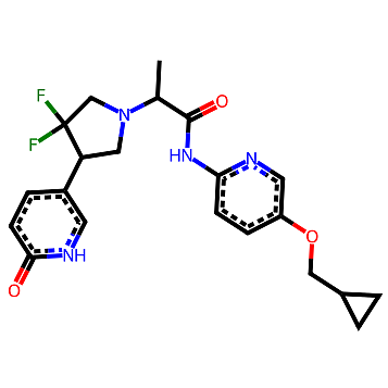 CC(C(=O)Nc1ccc(OCC2CC2)cn1)N1CC(c2ccc(=O)[nH]c2)C(F)(F)C1